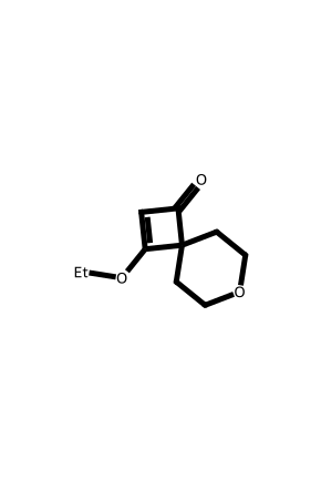 CCOC1=CC(=O)C12CCOCC2